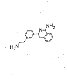 NCCc1cccc(C2Cc3ccccc3C(N)=N2)c1